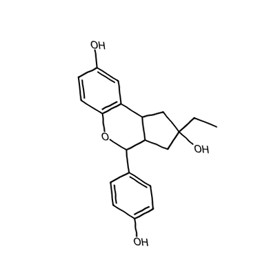 CCC1(O)CC2c3cc(O)ccc3OC(c3ccc(O)cc3)C2C1